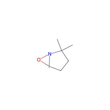 CC1(C)CC[C]2ON21